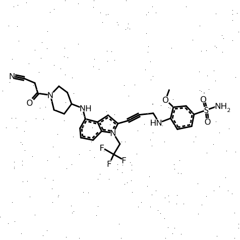 COc1cc(S(N)(=O)=O)ccc1NCC#Cc1cc2c(NC3CCN(C(=O)CC#N)CC3)cccc2n1CC(F)(F)F